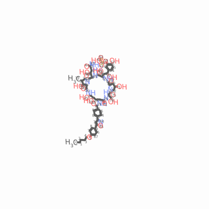 CCCCCOc1ccc(-c2cc(-c3ccc(C(=O)NC4CC(O)C(O)NC(=O)C5C(O)C(C)CN5C(=O)C(C(O)CC(N)=O)NC(=O)C(C(O)C(O)c5ccc(O)c(OS(=O)(=O)O)c5)NC(=O)C5CC(O)CN5C(=O)C(CO)NC4=O)cc3)no2)cc1